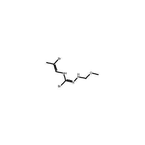 COCN/N=C(/Br)N/C=C(/C)Br